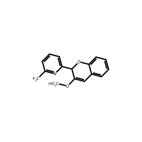 O=C(O)OC1=Cc2ccccc2OC1c1cccc(C(F)(F)F)n1